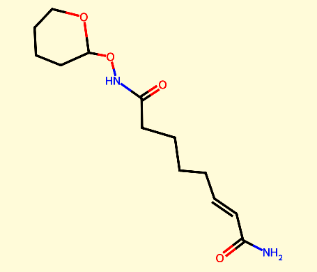 NC(=O)C=CCCCCC(=O)NOC1CCCCO1